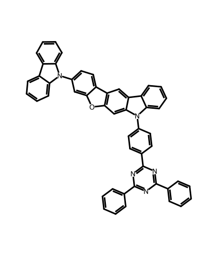 c1ccc(-c2nc(-c3ccccc3)nc(-c3ccc(-n4c5ccccc5c5cc6c(cc54)oc4cc(-n5c7ccccc7c7ccccc75)ccc46)cc3)n2)cc1